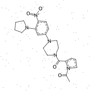 CC(=O)n1cccc1C(=O)N1CCN(c2ccc([N+](=O)[O-])c(N3CCCC3)c2)CC1